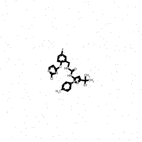 CCC(C)(C)c1cc(NC(=O)NCc2cc(F)ccc2Oc2ccnc(Cl)n2)n(-c2ccc(C)cc2)n1